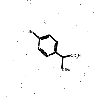 CCCCCCC(C(=O)O)c1ccc(C(C)(C)C)cc1